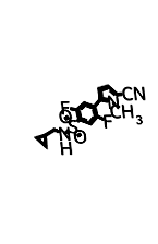 Cn1c(C#N)ccc1-c1cc(F)c(S(=O)(=O)NCC2CC2)cc1F